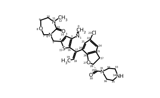 C=Nc1cc(CN2COCCN(C)C2=O)sc1/C(=C\C)c1cc(Cl)cc2c1O[C@@H](C(=O)N1CCNCC1)C2